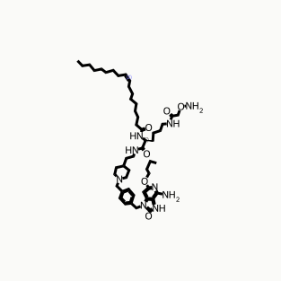 CCCCCCCC/C=C\CCCCCCCC(=O)N[C@@H](CCCCNC(=O)CON)C(=O)NCCC1CCN(Cc2ccc(Cn3c(=O)[nH]c4c(N)nc(OCCCC)cc43)cc2)CC1